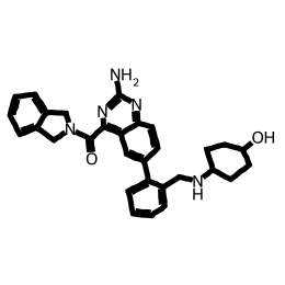 Nc1nc(C(=O)N2Cc3ccccc3C2)c2cc(-c3ccccc3CNC3CCC(O)CC3)ccc2n1